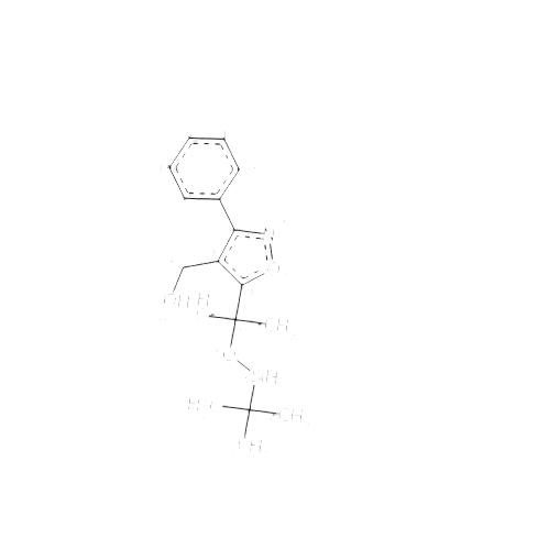 CC(C)(C)[SiH2]OC(C)(C)c1onc(-c2ccccc2)c1CO